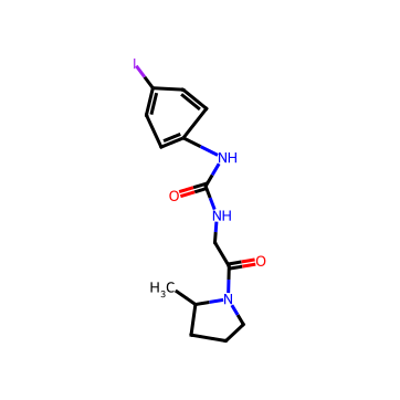 CC1CCCN1C(=O)CNC(=O)Nc1ccc(I)cc1